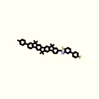 Cc1ccc(-c2ccc3c(c2)C(C)(C)c2cc4c(cc2-3)C(C)(C)c2cc3c(cc2-4)C(C)(C)c2cc(-c4nc5cc(-c6ccc(F)cc6)ccc5s4)ccc2-3)cc1